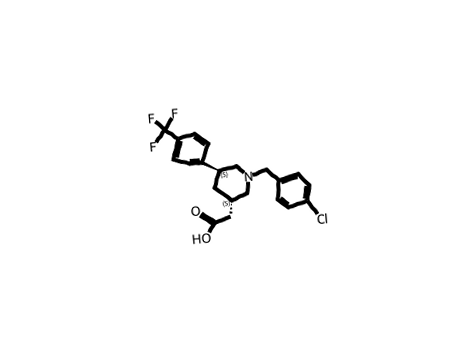 O=C(O)C[C@@H]1C[C@@H](c2ccc(C(F)(F)F)cc2)CN(Cc2ccc(Cl)cc2)C1